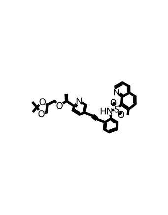 C=C(OCC1COC(C)(C)O1)c1ccc(C#Cc2ccccc2NS(=O)(=O)c2c(C)ccc3cccnc23)cn1